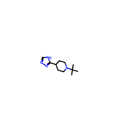 CC(C)(C)N1CCC(c2nnc[nH]2)CC1